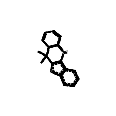 CC1(C)c2sc3ccccc3c2NC2C=CC=CC21